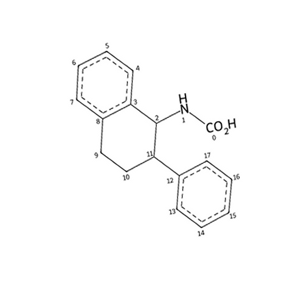 O=C(O)NC1c2ccccc2CCC1c1ccccc1